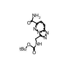 CC(C)(C)OC(=O)NCc1nnc2ccc(C(N)=O)nn12